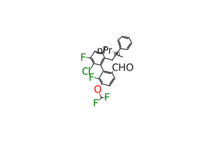 CCC[C@](C)(Cc1c(C)cc(F)c(Cl)c1-c1c(C=O)ccc(OC(F)F)c1F)c1ccccc1